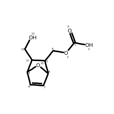 O=C(O)OCC1C2C=CC(O2)C1CO